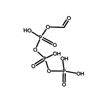 O=COP(=O)(O)OP(=O)(O)OP(=O)(O)O